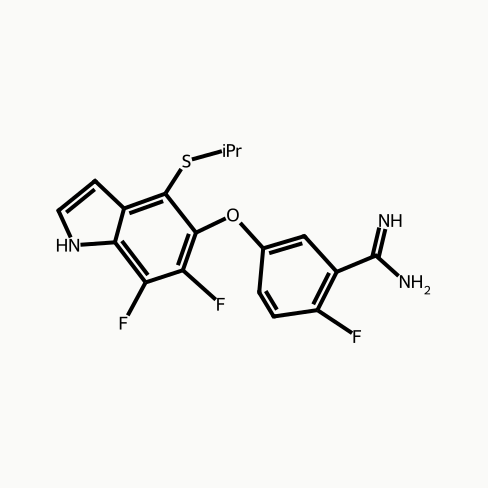 CC(C)Sc1c(Oc2ccc(F)c(C(=N)N)c2)c(F)c(F)c2[nH]ccc12